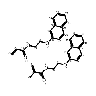 C=C(C)C(=O)OCCOc1ccc2ccccc2c1.C=CC(=O)OCCOc1ccc2ccccc2c1